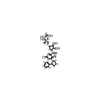 O=P(O)(O)CP(=O)(O)OC[C@H]1C[C@@H](n2nnc3c(N4CCC[C@H]4c4ccccc4)nc(Cl)nc32)[C@H](O)[C@@H]1O